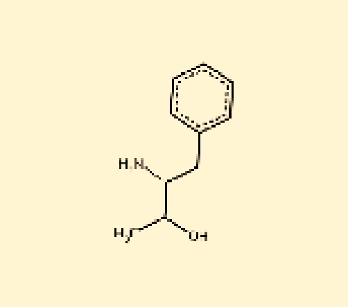 CC(O)[C@H](N)Cc1ccccc1